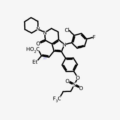 CC/C(=C/c1c2c(n(-c3ccc(F)cc3Cl)c1-c1ccc(OS(=O)(=O)CCC(F)(F)F)cc1)CCN(N1CCCCC1)C2=O)C(=O)O